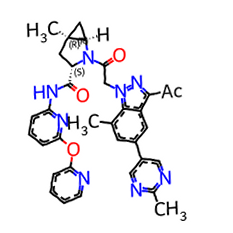 CC(=O)c1nn(CC(=O)N2[C@H](C(=O)Nc3cccc(Oc4ccccn4)n3)C[C@@]3(C)C[C@@H]23)c2c(C)cc(-c3cnc(C)nc3)cc12